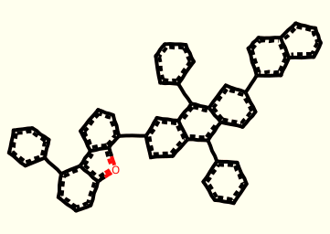 c1ccc(-c2c3ccc(-c4ccc5ccccc5c4)cc3c(-c3ccccc3)c3cc(-c4cccc5c4oc4cccc(-c6ccccc6)c45)ccc23)cc1